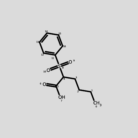 CCCCC(C(=O)O)S(=O)(=O)c1ccccc1